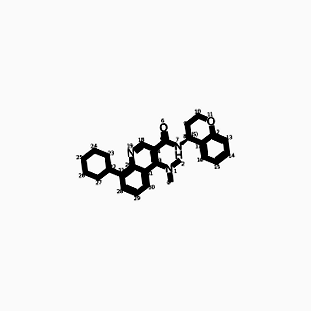 CN(C)c1c(C(=O)N[C@H]2CCOc3ccccc32)cnc2c(C3CCCCC3)cccc12